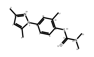 Cc1cc(C)n(-c2ccc(SC(=O)N(C)C)c(C)c2)n1